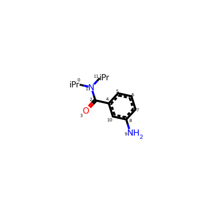 CC(C)N(C(=O)c1cccc(N)c1)C(C)C